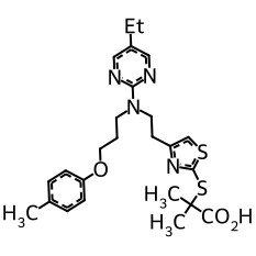 CCc1cnc(N(CCCOc2ccc(C)cc2)CCc2csc(SC(C)(C)C(=O)O)n2)nc1